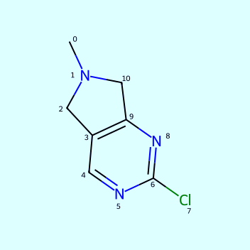 CN1Cc2cnc(Cl)nc2C1